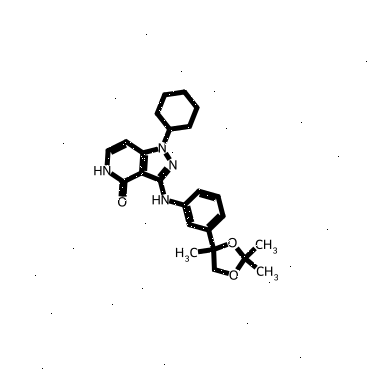 CC1(C)OCC(C)(c2cccc(Nc3nn(C4CCCCC4)c4cc[nH]c(=O)c34)c2)O1